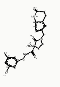 O=C1CCc2cc(CN3CCC(O)(C(=O)NCc4cc(F)cc(Cl)c4)C3=O)ccc2N1